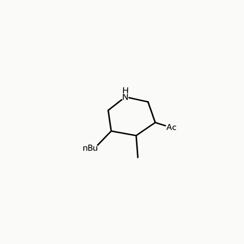 CCCCC1CNCC(C(C)=O)C1C